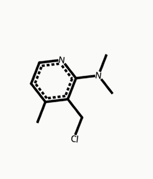 Cc1ccnc(N(C)C)c1CCl